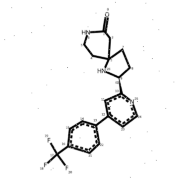 O=C1CC2(CCN1)CC[C@@H](c1cc(-c3ccc(C(F)(F)F)cc3)ccn1)N2